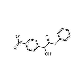 O=C(Cc1ccccc1)C(O)c1ccc([N+](=O)[O-])cc1